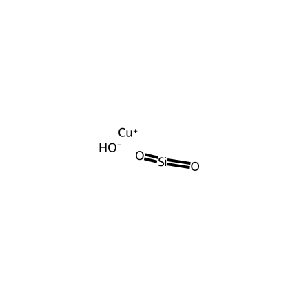 O=[Si]=O.[Cu+].[OH-]